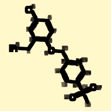 CC(C)Cc1cc(Cl)ccc1OCc1ccc(S(C)(=O)=O)cn1